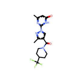 Cc1cc(=O)[nH]c(-n2cc(C(=O)N3CCC(C(F)(F)F)CC3)c(C)n2)n1